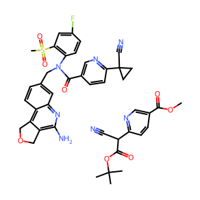 COC(=O)c1ccc(C(C#N)C(=O)OC(C)(C)C)nc1.CS(=O)(=O)c1cc(F)ccc1N(Cc1ccc2c3c(c(N)nc2c1)COC3)C(=O)c1ccc(C2(C#N)CC2)nc1